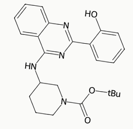 CC(C)(C)OC(=O)N1CCCC(Nc2nc(-c3ccccc3O)nc3ccccc23)C1